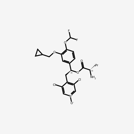 CC(C)[C@H](N)C(=O)O[C@@H](Cc1c(Cl)c[n+]([O-])cc1Cl)c1ccc(OC(F)F)c(OCC2CC2)c1